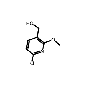 COc1nc(Cl)ccc1CO